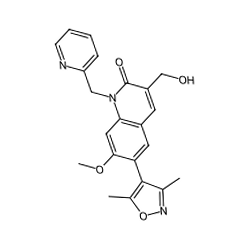 COc1cc2c(cc1-c1c(C)noc1C)cc(CO)c(=O)n2Cc1ccccn1